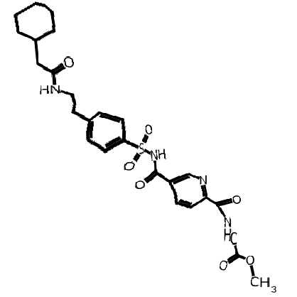 COC(=O)CNC(=O)c1ccc(C(=O)NS(=O)(=O)c2ccc(CCNC(=O)CC3CCCCC3)cc2)cn1